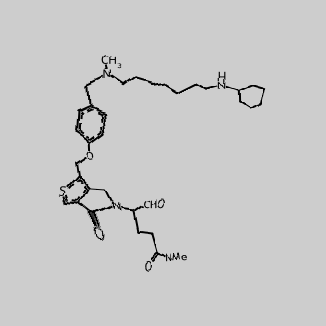 CNC(=O)CCC(C=O)N1Cc2c(csc2COc2ccc(CN(C)CCCCCCCNC3CCCCC3)cc2)C1=O